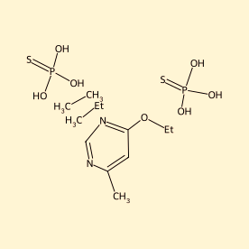 CC.CCC.CCOc1cc(C)ncn1.OP(O)(O)=S.OP(O)(O)=S